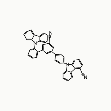 N#Cc1cc(-c2ccc(-n3c4ccccc4c4c(C#N)cccc43)cc2)cc(-c2ccccc2-n2c3ccccc3c3ccccc32)c1